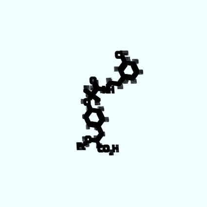 CCO[C@@H](CC1=CCC(OC(C)(C)C(=O)NCCc2cccc(Cl)c2)C=C1)C(=O)O